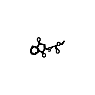 CCOC(=O)CSC1=CC(=O)c2ccccc2C1=O